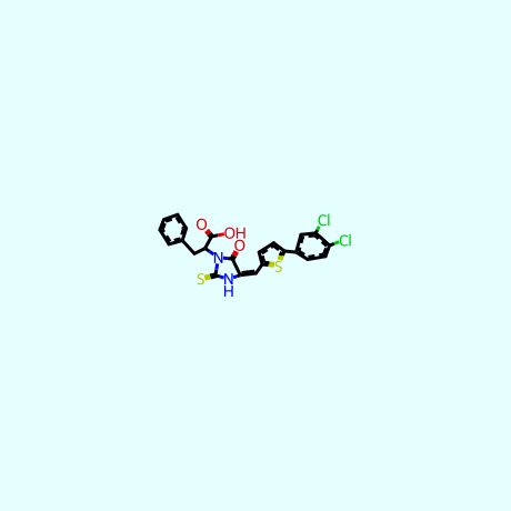 O=C(O)C(Cc1ccccc1)N1C(=O)/C(=C\c2ccc(-c3ccc(Cl)c(Cl)c3)s2)NC1=S